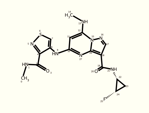 CNC(=O)c1nscc1Nc1cc(NC)n2ncc(C(=O)N[C@@H]3C[C@@H]3F)c2n1